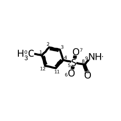 Cc1ccc(S(=O)(=O)C([NH])=O)cc1